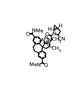 CNC(=O)c1ccc2c(c1)CCc1cc(C(=O)NC)ccc1C2(C[C@@H](C)NCC(=O)N1[C@H](C#N)C[C@@H]2C[C@@H]21)c1nnn(C)n1